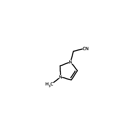 CN1C=CN(CC#N)C1